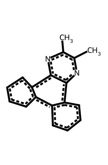 Cc1nc2c3ccccc3c3ccccc3c2nc1C